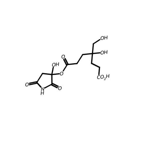 O=C(O)CCC(O)(CO)CCC(=O)OC1(O)CC(=O)NC1=O